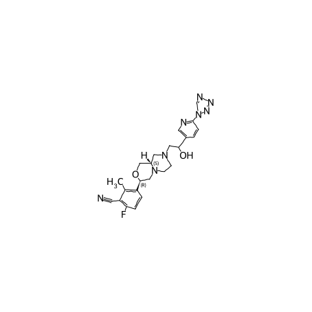 Cc1c([C@@H]2CN3CCN(CC(O)c4ccc(-n5cnnn5)nc4)C[C@H]3CO2)ccc(F)c1C#N